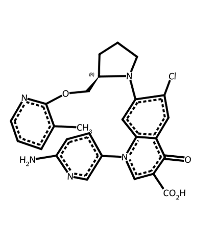 Cc1cccnc1OC[C@H]1CCCN1c1cc2c(cc1Cl)c(=O)c(C(=O)O)cn2-c1ccc(N)nc1